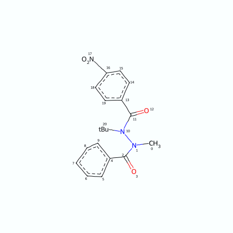 CN(C(=O)c1ccccc1)N(C(=O)c1ccc([N+](=O)[O-])cc1)C(C)(C)C